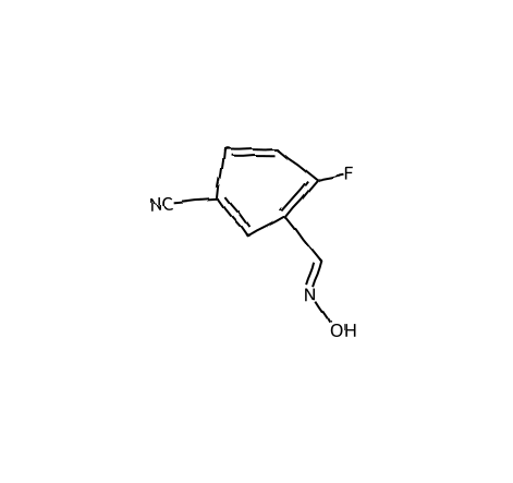 N#Cc1ccc(F)c(C=NO)c1